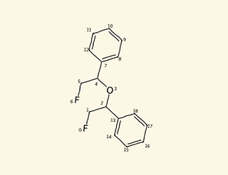 FCC(OC(CF)c1ccccc1)c1ccccc1